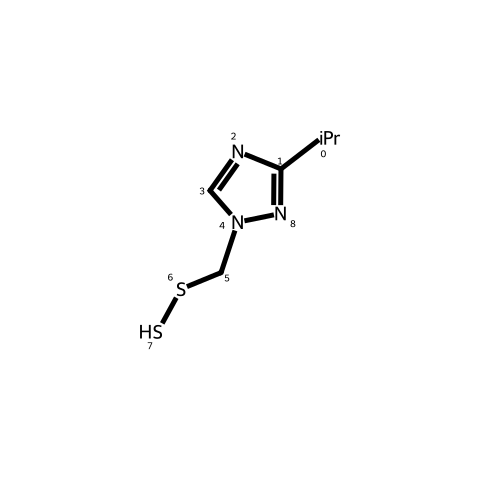 CC(C)c1ncn(CSS)n1